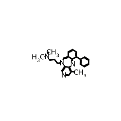 Cc1cncc2c1N=c1c(-c3ccccc3)cccc1=CN2CCCN(C)C